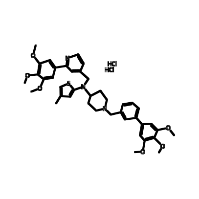 COc1cc(-c2cccc(CN3CCC(N(Cc4ccnc(-c5cc(OC)c(OC)c(OC)c5)c4)c4cc(C)cs4)CC3)c2)cc(OC)c1OC.Cl.Cl